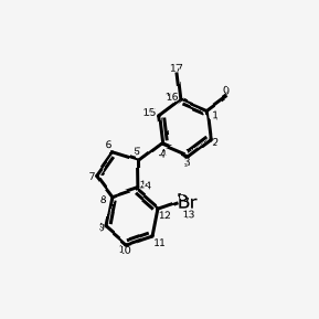 Cc1ccc(C2C=Cc3cccc(Br)c32)cc1C